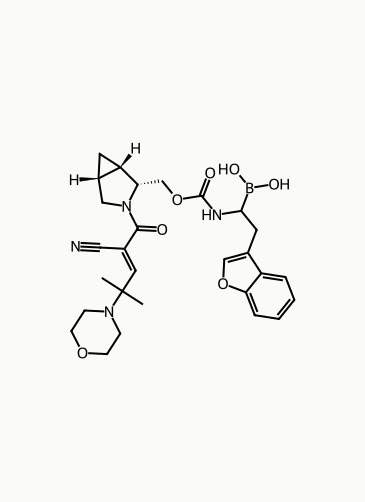 CC(C)(C=C(C#N)C(=O)N1C[C@@H]2C[C@@H]2[C@@H]1COC(=O)NC(Cc1coc2ccccc12)B(O)O)N1CCOCC1